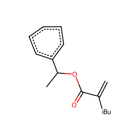 C=C(C(=O)OC(C)c1ccccc1)C(C)CC